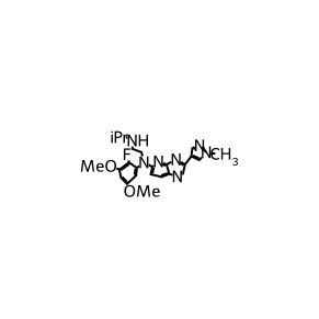 COc1cc(OC)c(F)c(N(CCNC(C)C)c2ccc3ncc(-c4cnn(C)c4)nc3n2)c1